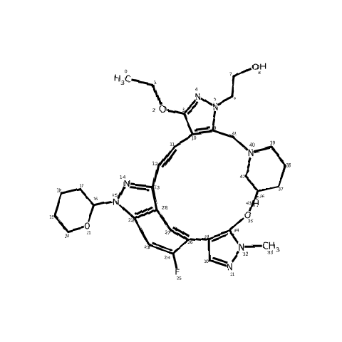 CCOc1nn(CCO)c2c1C=Cc1nn(C3CCCCO3)c3cc(F)c(cc13)-c1cnn(C)c1O[C@@H]1CCCN(C2)C1